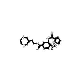 O=C(NCCC1COCCOC1)c1ccc2c(c1)NC(=O)c1cccn1S2(=O)=O